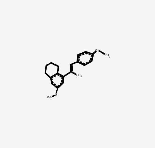 COc1ccc(C=C(C)c2cc(OC)cc3c2CCCC3)cc1